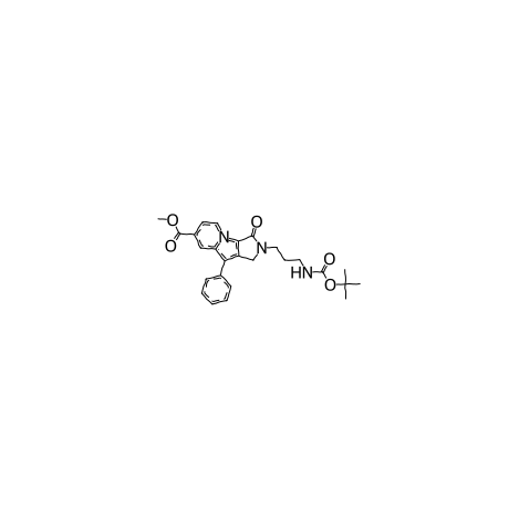 COC(=O)c1ccn2c3c(c(-c4ccccc4)c2c1)CN(CCCNC(=O)OC(C)(C)C)C3=O